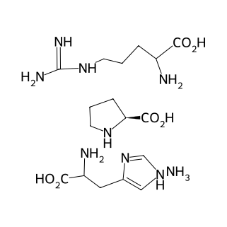 N.N=C(N)NCCCC(N)C(=O)O.NC(Cc1c[nH]cn1)C(=O)O.O=C(O)[C@@H]1CCCN1